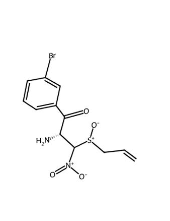 C=CC[S+]([O-])C([C@H](N)C(=O)c1cccc(Br)c1)[N+](=O)[O-]